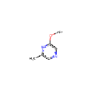 CCCOc1cncc(C)n1